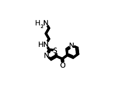 NCCCNc1ncc(C(=O)c2cccnc2)s1